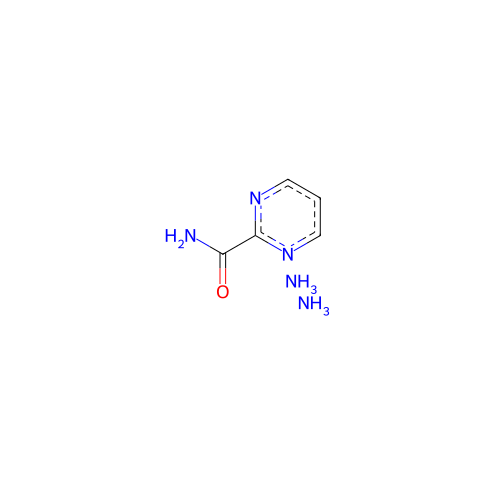 N.N.NC(=O)c1ncccn1